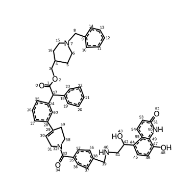 O=C(OCC1CCN(Cc2ccccc2)CC1)C(c1ccccc1)c1cccc(C2=CCN(C(=O)c3ccc(CNCC(O)c4ccc(O)c5[nH]c(=O)ccc45)cc3)CC2)c1